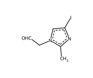 Cc1nc(I)cn1CC=O